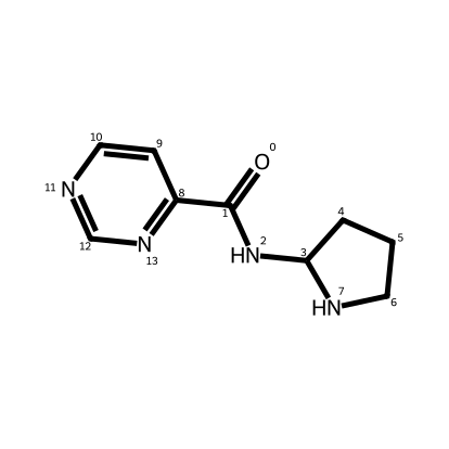 O=C(NC1CCCN1)c1ccncn1